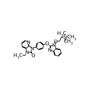 CCn1c(=O)n(-c2ccc(Oc3nc4ccccc4n3OCC[Si](C)(C)C)cc2)c2ncccc21